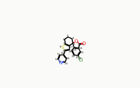 O=C1OC2(CCCc3sc(-c4ccncc4)cc32)c2ccc(Cl)cc21